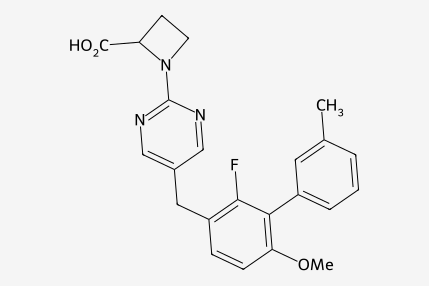 COc1ccc(Cc2cnc(N3CCC3C(=O)O)nc2)c(F)c1-c1cccc(C)c1